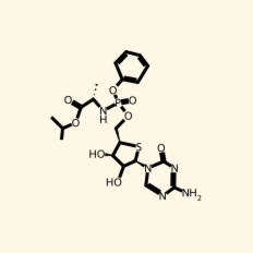 CC(C)OC(=O)[C@H](C)NP(=O)(OC[C@H]1S[C@@H](n2cnc(N)nc2=O)C(O)[C@H]1O)Oc1ccccc1